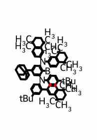 CC(C)(C)c1ccc2c(c1)B1c3cc4c(cc3N(c3ccc5c(c3)C(C)(C)CCC5(C)C)c3cc(C56CC7CC(CC(C7)C5)C6)cc(c31)N2c1ccc(C(C)(C)C)cc1-c1ccc2c(c1)C(C)(C)CCC2(C)C)C(C)(C)CCC4(C)C